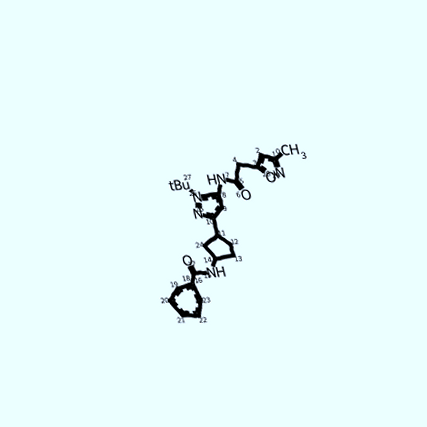 Cc1cc(CC(=O)Nc2cc(C3CCC(NC(=O)c4ccccc4)C3)nn2C(C)(C)C)on1